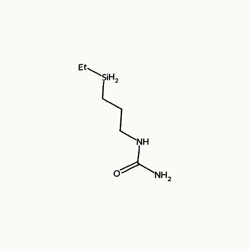 CC[SiH2]CCCNC(N)=O